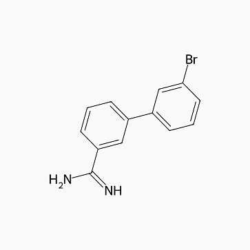 N=C(N)c1cccc(-c2cccc(Br)c2)c1